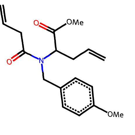 C=CCC(=O)N(Cc1ccc(OC)cc1)C(CC=C)C(=O)OC